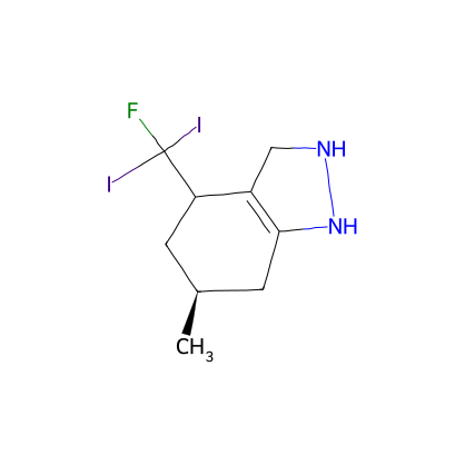 C[C@@H]1CC2=C(CNN2)C(C(F)(I)I)C1